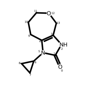 O=c1[nH]c2c(n1C1CC1)CCCOC2